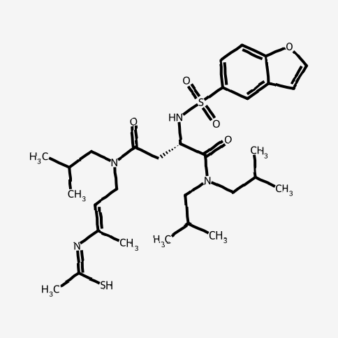 C/C(S)=N/C(C)=C/CN(CC(C)C)C(=O)C[C@H](NS(=O)(=O)c1ccc2occc2c1)C(=O)N(CC(C)C)CC(C)C